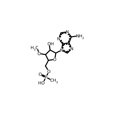 COC1C(COP(C)(=O)O)OC(n2cnc3c(N)ncnc32)C1O